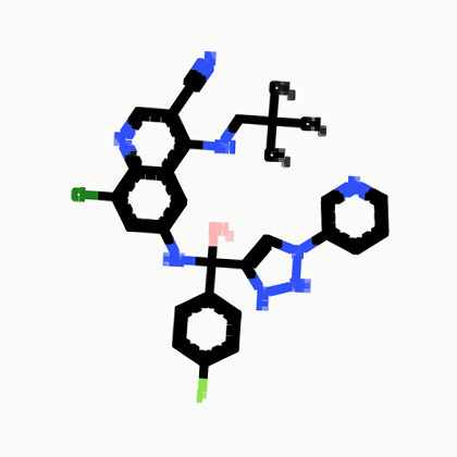 BC(Nc1cc(Cl)c2ncc(C#N)c(NCC(C)(C)C)c2c1)(C1=CN(c2cccnc2)NN1)c1ccc(F)cc1